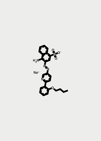 CCCCOc1ccccc1-c1ccc(N=Nc2cc(S(=O)(=O)[O-])c3ccccc3c2N)cn1.[Na+]